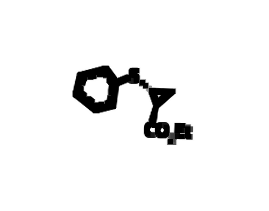 CCOC(=O)[C@@H]1C[C@H]1Sc1ccccc1